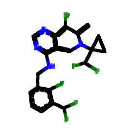 C=C1C(Br)=c2ncnc(NCc3cccc(C(F)F)c3F)c2=CN1C1(C(F)F)CC1